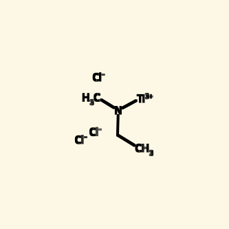 CC[N](C)[Ti+3].[Cl-].[Cl-].[Cl-]